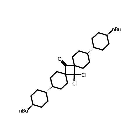 CCCC[C@H]1CC[C@H](C2CCC3(CC2)C(=O)C2(CCC([C@H]4CC[C@H](CCCC)CC4)CC2)C3(Cl)Cl)CC1